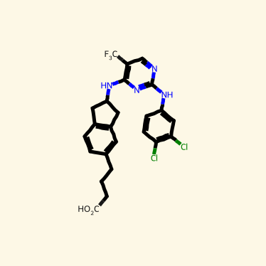 O=C(O)CCCc1ccc2c(c1)CC(Nc1nc(Nc3ccc(Cl)c(Cl)c3)ncc1C(F)(F)F)C2